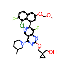 COCOc1cc(-c2ncc3c(N4CCCC(C)C4)nc(OCC4(CO)CC4)nc3c2F)c2c(Cl)c(F)ccc2c1